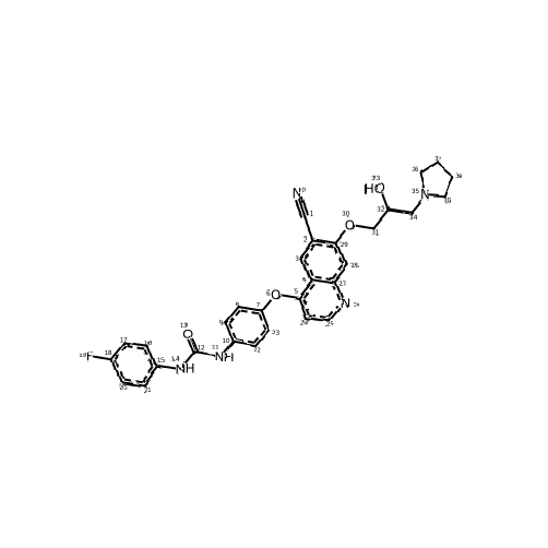 N#Cc1cc2c(Oc3ccc(NC(=O)Nc4ccc(F)cc4)cc3)ccnc2cc1OCC(O)CN1CCCC1